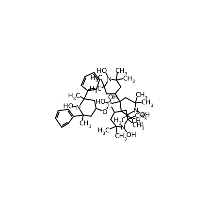 CC1(C)CC(C2(P(O)(O)(OC3CC(C)(c4ccccc4)N(O)C(C)(c4ccccc4)C3)C3CC(C)(C)N(O)C(C)(C)C3)CC(C)(C)N(O)C(C)(C)C2)CC(C)(C)N1O